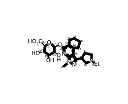 CCN1CCC(c2nn(C)c3nc(O[C@@H]4O[C@H](C(=O)O)[C@@H](O)[C@H](O)[C@H]4O)c4c(c23)CCCC4)C1